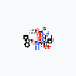 CC(NC(=O)OCC1c2ccccc2-c2ccccc21)C(=O)N([C@H](CO)c1ccccc1)[C@@H](C)C(=O)N[C@H](C(=O)OC(C)(C)C)C(C)C